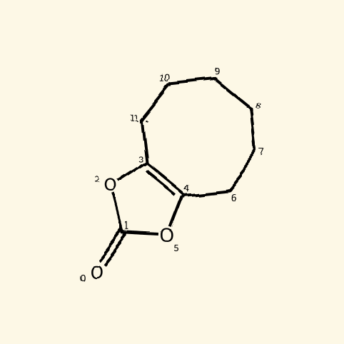 O=c1oc2c(o1)CCCCC[CH]2